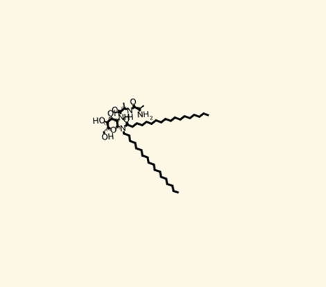 CCCCCCCCCCCCCCCCCCN(C(=O)CCCCCCCCCCCCCCCCC)[C@@H]1O[C@H](CO)[C@@H](O)[C@H](O)[C@H]1NC(=O)[C@@H](C)NC(=O)[C@@H](C)N